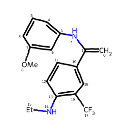 C=C(Nc1cccc(OC)c1)c1ccc(NCC)c(C(F)(F)F)c1